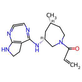 C=CC(=O)N1CC[C@@H](C)C[C@@H](NC2=NC=C=NC3=C2CCN3)C1